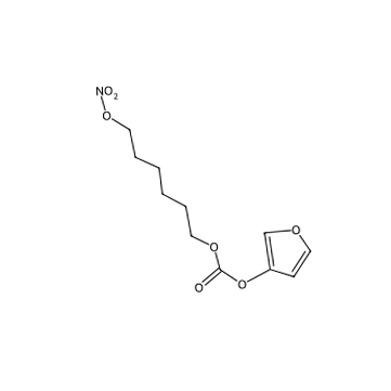 O=C(OCCCCCCO[N+](=O)[O-])Oc1ccoc1